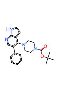 CC(C)(C)OC(=O)N1CCN(c2c(-c3ccccc3)cnc3[nH]ccc23)CC1